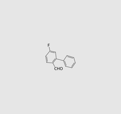 O=Cc1ccc(F)cc1-c1ccccc1